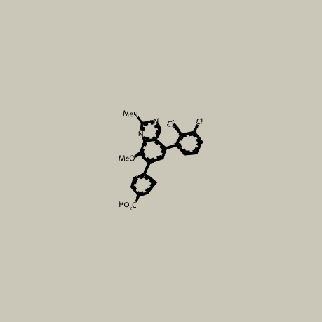 CNc1ncc2c(-c3cccc(Cl)c3Cl)cc(-c3ccc(C(=O)O)cc3)c(OC)c2n1